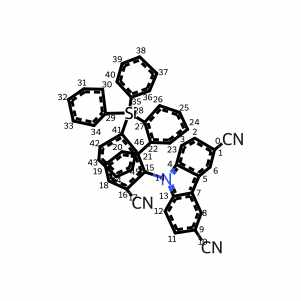 N#Cc1ccc2c(c1)c1cc(C#N)ccc1n2-c1c(C#N)cccc1-c1ccccc1[Si](c1ccccc1)(c1ccccc1)c1ccccc1